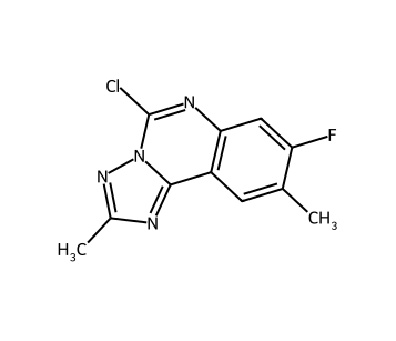 Cc1nc2c3cc(C)c(F)cc3nc(Cl)n2n1